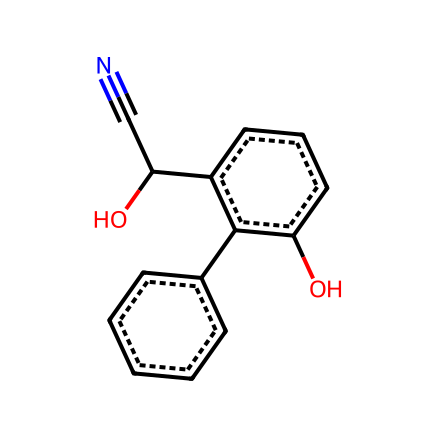 N#CC(O)c1cccc(O)c1-c1ccccc1